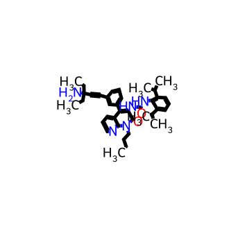 CCCCn1c(=O)c(NC(=O)Nc2c(C(C)C)cccc2C(C)C)c(-c2cccc(C#CC(N)(CC)CC)c2)c2cccnc21